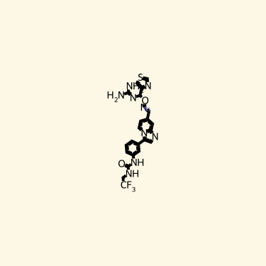 NC(N)=NC(O/N=C/c1ccn2c(-c3cccc(NC(=O)NCC(F)(F)F)c3)cnc2c1)c1cscn1